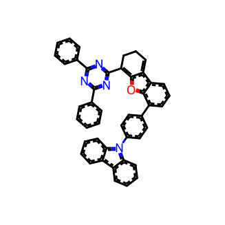 C1=c2c(oc3c(-c4ccc(-n5c6ccccc6c6ccccc65)cc4)cccc23)=C(c2nc(-c3ccccc3)nc(-c3ccccc3)n2)CC1